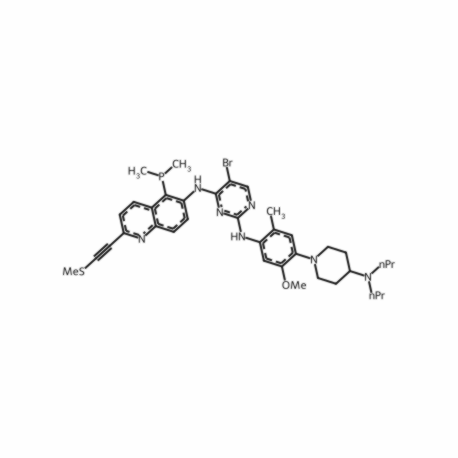 CCCN(CCC)C1CCN(c2cc(C)c(Nc3ncc(Br)c(Nc4ccc5nc(C#CSC)ccc5c4P(C)C)n3)cc2OC)CC1